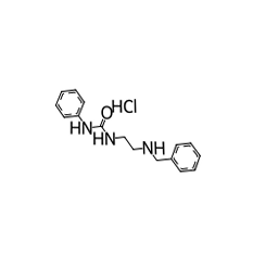 Cl.O=C(NCCNCc1ccccc1)Nc1ccccc1